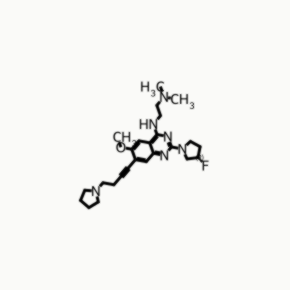 COc1cc2c(NCCN(C)C)nc(N3CC[C@@H](F)C3)nc2cc1C#CCCN1CCCC1